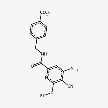 CCOc1nc(C(=O)NCc2ccc(C(=O)O)cc2)cc(N)c1C#N